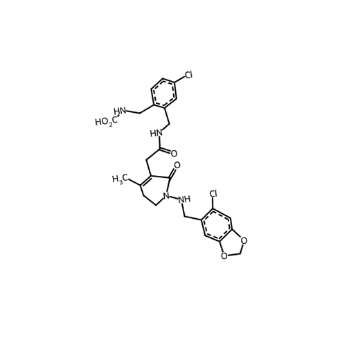 CC1=C(CC(=O)NCc2cc(Cl)ccc2CNC(=O)O)C(=O)N(NCc2cc3c(cc2Cl)OCO3)CC1